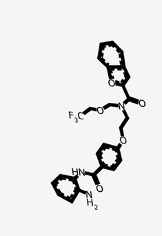 Nc1ccccc1NC(=O)c1ccc(OCCN(COCC(F)(F)F)C(=O)c2cc3ccccc3o2)cc1